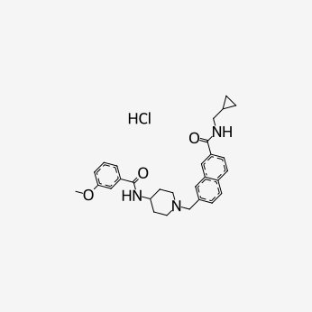 COc1cccc(C(=O)NC2CCN(Cc3ccc4ccc(C(=O)NCC5CC5)cc4c3)CC2)c1.Cl